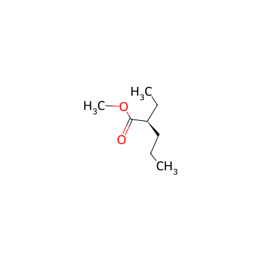 CCC[C@H](CC)C(=O)OC